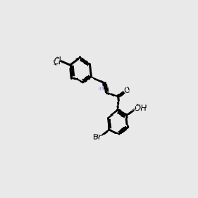 O=C(/C=C/c1ccc(Cl)cc1)c1cc(Br)ccc1O